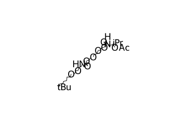 CC(=O)OC(CNC(=O)OCCOCCOCCOC(=O)NCCOCCOCCCCCCC(C)(C)C)C(C)C